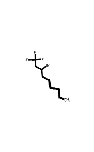 CCCCCCC(Br)CC(F)(F)Br